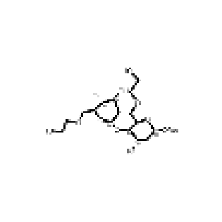 CO[C@H]1C[C@H](O)[C@@H](O[C@H]2C[C@H](O)[C@@H](C)C(COCCO)O2)C(COCCO)O1